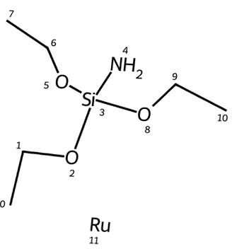 CCO[Si](N)(OCC)OCC.[Ru]